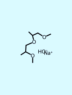 COCC(C)OCC(C)OC.[Na+].[OH-]